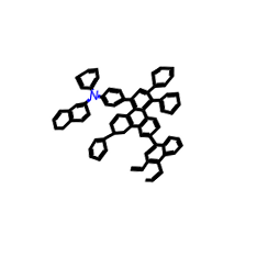 C=Cc1cc(-c2ccc3c(c2)c2c(c4c(-c5ccc(N(c6ccccc6)c6ccc7c(c6)C=CCC7)cc5)cc(-c5ccccc5)c(-c5ccccc5)c43)C=CC(c3ccccc3)C2)c2ccccc2c1/C=C\C